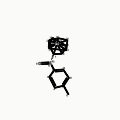 Cc1ccc([S@](=O)[C]23[CH]4[CH]5[CH]6[CH]2[Fe]56432789[CH]3[CH]2[CH]7[CH]8[CH]39)cc1